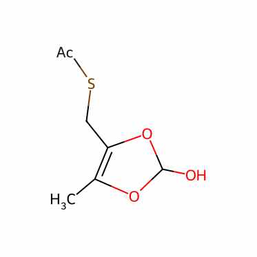 CC(=O)SCC1=C(C)OC(O)O1